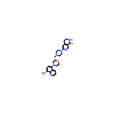 C[C@@H]1CN(c2ccc(C#N)c3ncccc23)C[C@H](CN2CCN(c3cc4c(cn3)[C@H](C)NCC4)CC2)O1